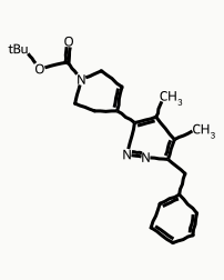 Cc1c(Cc2ccccc2)nnc(C2=CCN(C(=O)OC(C)(C)C)CC2)c1C